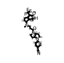 CN(CCC(=O)N1CCC2C1CCN2c1ccc(C#N)cn1)C1CCc2c1n[nH]c(=O)c2C(F)(F)F